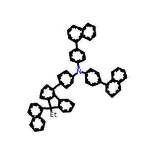 CCC1(c2cccc3ccccc23)c2ccccc2-c2c(-c3ccc(N(c4ccc(-c5cccc6ccccc56)cc4)c4ccc(-c5cccc6ccccc56)cc4)cc3)cccc21